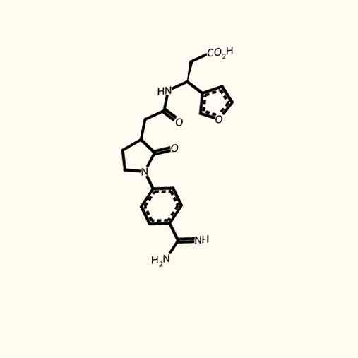 N=C(N)c1ccc(N2CCC(CC(=O)N[C@@H](CC(=O)O)c3ccoc3)C2=O)cc1